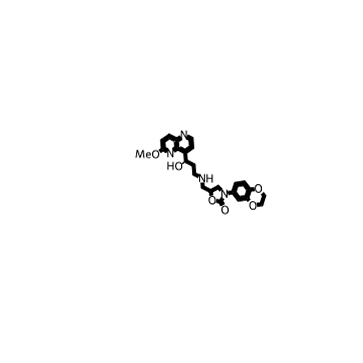 COc1ccc2nccc([C@@H](O)CCNCC3CN(c4ccc5c(c4)OCCO5)C(=O)O3)c2n1